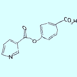 O=C(O)c1ccc(OC(=O)c2cccnc2)cc1